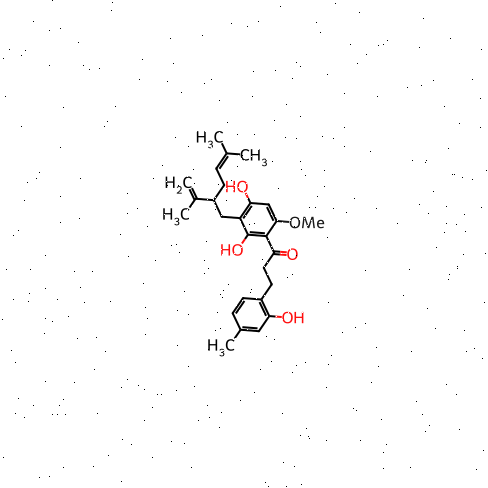 C=C(C)C(CC=C(C)C)Cc1c(O)cc(OC)c(C(=O)CCc2ccc(C)cc2O)c1O